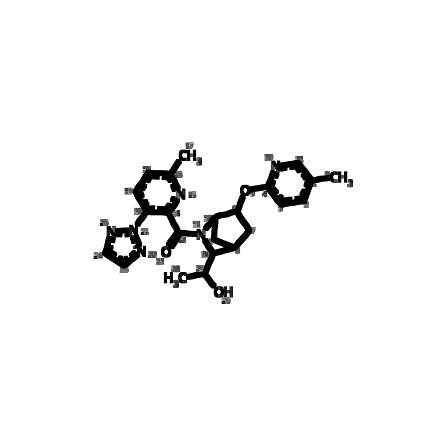 Cc1ccc(OC2CC3CC2N(C(=O)c2nc(C)ccc2-n2nccn2)C3C(C)O)nc1